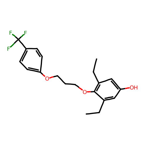 CCc1cc(O)cc(CC)c1OCCCOc1ccc(C(F)(F)F)cc1